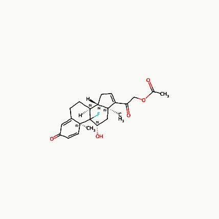 CC(=O)OCC(=O)C1=CC[C@H]2[C@@H]3CCC4=CC(=O)C=C[C@]4(C)C3(F)[C@@H](O)C[C@]12C